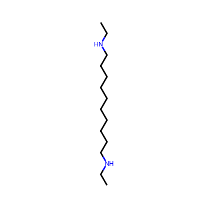 CCNCCCCCCCCCCNCC